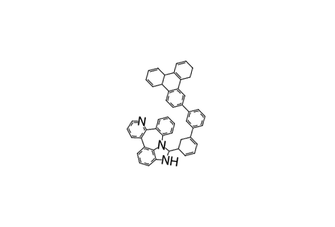 C1=CC(C2Nc3cccc4c3N2c2ccccc2-c2ncccc2-4)CC(c2cccc(-c3ccc4c(c3)C3=C(C=CCC3)C3C=CC=CC43)c2)=C1